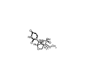 COC[C@@]12CO[C@H](C(n3ccc(=O)[nH]c3=O)O1)[C@@H]2NP(=O)(O)OC